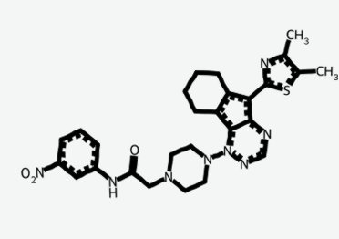 Cc1nc(-c2c3ncnn(N4CCN(CC(=O)Nc5cccc([N+](=O)[O-])c5)CC4)c-3c3c2CCCC3)sc1C